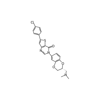 CN(C)C[C@@H]1COc2cc(-n3cnc4cc(-c5ccc(Cl)cc5)sc4c3=O)ccc2O1